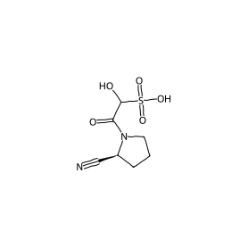 N#C[C@@H]1CCCN1C(=O)C(O)S(=O)(=O)O